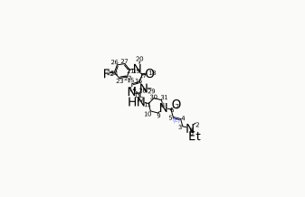 CCN(C)C/C=C/C(=O)N1CCC(Nc2ncc(C(=O)N(C)c3ccc(F)cc3)n2C)CC1